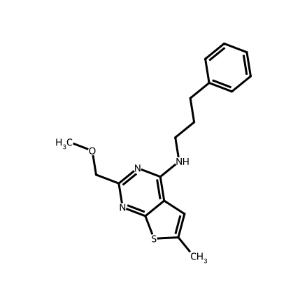 COCc1nc(NCCCc2ccccc2)c2cc(C)sc2n1